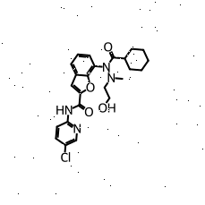 CN(CCO)N(C(=O)C1CCCCC1)c1cccc2cc(C(=O)Nc3ccc(Cl)cn3)oc12